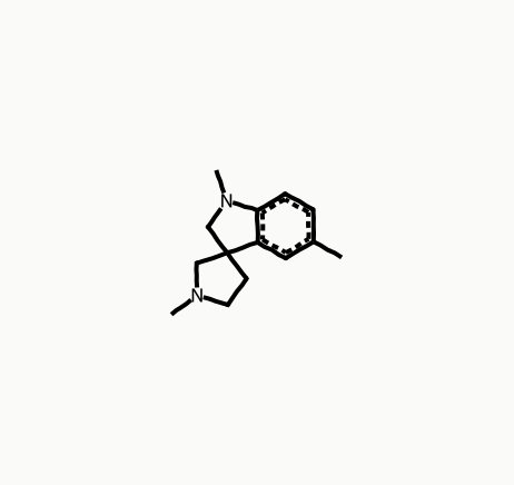 Cc1ccc2c(c1)C1(CCN(C)C1)CN2C